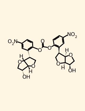 O=C(Oc1ccc([N+](=O)[O-])cc1[C@@H]1CO[C@H]2[C@@H]1OC[C@H]2O)Oc1ccc([N+](=O)[O-])cc1[C@@H]1CO[C@H]2[C@@H]1OC[C@H]2O